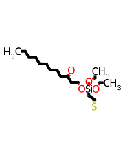 CCCCCCCCCC(=O)CCO[Si](CC=S)(OCC)OCC